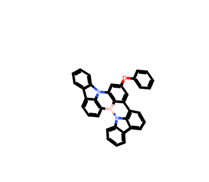 c1ccc(Oc2cc3c4c(c2)-n2c5ccccc5c5cccc(c52)B4n2c4ccccc4c4cccc-3c42)cc1